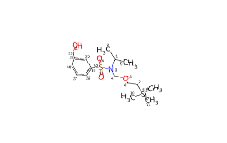 CC(C)N(COCC[Si](C)(C)C)S(=O)(=O)c1cccc(CO)c1